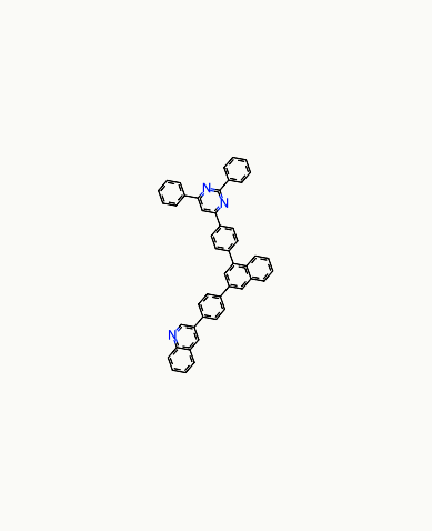 c1ccc(-c2cc(-c3ccc(-c4cc(-c5ccc(-c6cnc7ccccc7c6)cc5)cc5ccccc45)cc3)nc(-c3ccccc3)n2)cc1